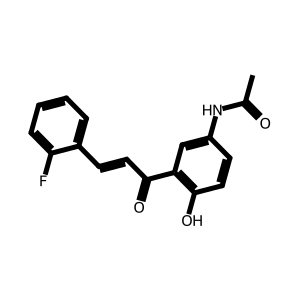 CC(=O)Nc1ccc(O)c(C(=O)C=Cc2ccccc2F)c1